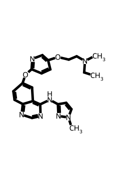 CCN(C)CCOc1ccc(Oc2ccc3ncnc(Nc4ccn(C)n4)c3c2)nc1